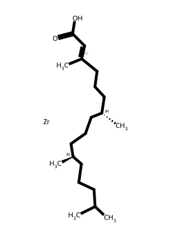 C/C(=C\C(=O)O)CCC[C@H](C)CCC[C@H](C)CCCC(C)C.[Zr]